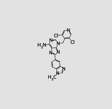 Cn1cnc2cc(-c3nc4c(N)ncn(Cc5c(Cl)cncc5Cl)c-4n3)ccc21